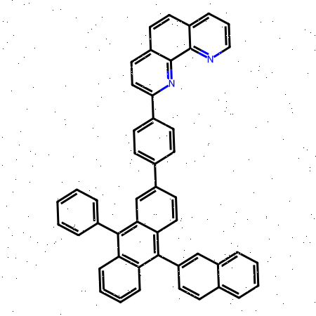 C1=C=Cc2c(c(-c3ccc4ccccc4c3)c3ccc(-c4ccc(-c5ccc6ccc7cccnc7c6n5)cc4)cc3c2-c2ccccc2)C=1